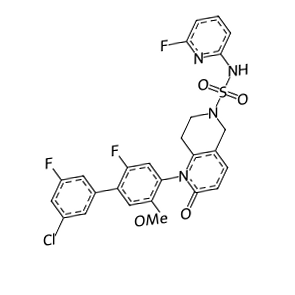 COc1cc(-c2cc(F)cc(Cl)c2)c(F)cc1-n1c2c(ccc1=O)CN(S(=O)(=O)Nc1cccc(F)n1)CC2